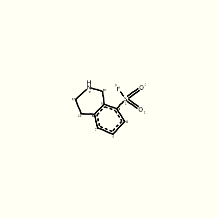 O=S(=O)(F)c1cccc2c1CNCC2